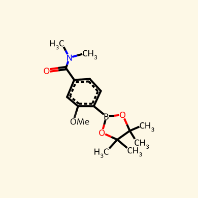 COc1cc(C(=O)N(C)C)ccc1B1OC(C)(C)C(C)(C)O1